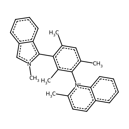 Cc1cc(C)c(-[n+]2c(C)ccc3ccccc32)c(C)c1-c1c2ccccc2cn1C